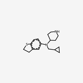 c1cc2c(cc1N(CC1CC1)C1CCNCC1)CCS2